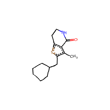 Cc1c(CC2CCCCC2)sc2c1C(=O)NCC2